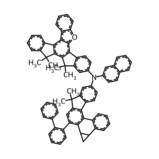 CC1(C)c2cc(N(c3ccc4c(c3)C(C)(C)c3c5c(c6c(oc7ccccc76)c3-4)-c3ccccc3C5(C)C)c3ccc4ccccc4c3)ccc2-c2c1cc(-c1ccccc1-c1ccccc1)c1c2-c2ccccc2C2CC12